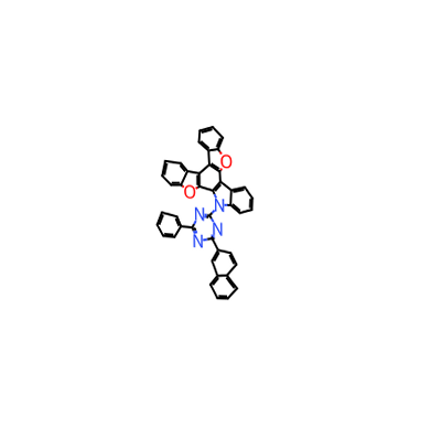 c1ccc(-c2nc(-c3ccc4ccccc4c3)nc(-n3c4ccccc4c4c5oc6ccccc6c5c5c6ccccc6oc5c43)n2)cc1